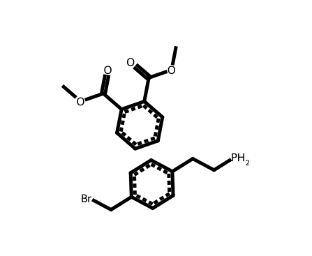 COC(=O)c1ccccc1C(=O)OC.PCCc1ccc(CBr)cc1